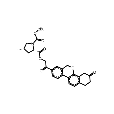 C[C@H]1C[C@@H](C(=O)OCC(=O)c2ccc3c(c2)COc2c-3ccc3c2CC(=O)CC3)N(C(=O)OC(C)(C)C)C1